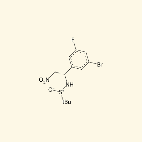 CC(C)(C)[S@+]([O-])N[C@H](C[N+](=O)[O-])c1cc(F)cc(Br)c1